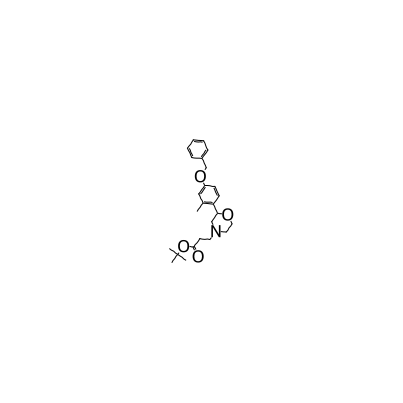 Cc1cc(OCc2ccccc2)ccc1C1CN(CCC(=O)OC(C)(C)C)CCO1